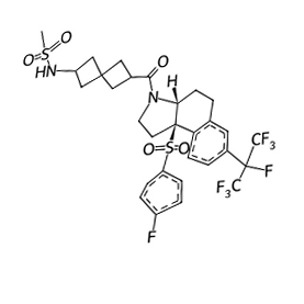 CS(=O)(=O)NC1CC2(C1)CC(C(=O)N1CC[C@@]3(S(=O)(=O)c4ccc(F)cc4)c4ccc(C(F)(C(F)(F)F)C(F)(F)F)cc4CC[C@@H]13)C2